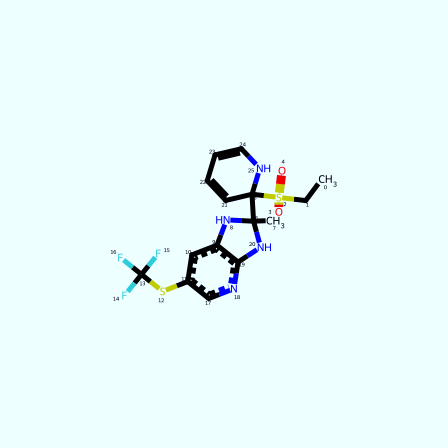 CCS(=O)(=O)C1(C2(C)Nc3cc(SC(F)(F)F)cnc3N2)C=CC=CN1